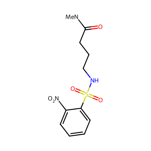 CNC(=O)CCCNS(=O)(=O)c1ccccc1[N+](=O)[O-]